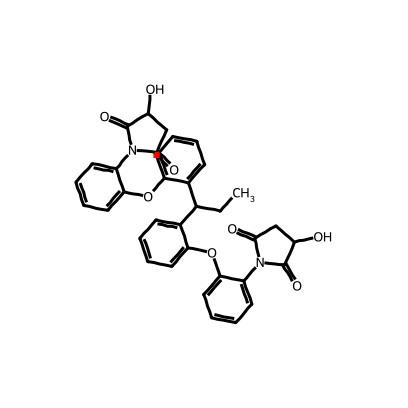 CCC(c1ccccc1Oc1ccccc1N1C(=O)CC(O)C1=O)c1ccccc1Oc1ccccc1N1C(=O)CC(O)C1=O